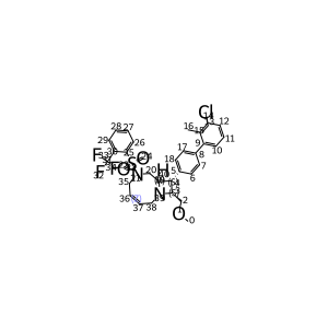 COC[C@@H]1[C@@H](c2ccc(-c3cccc(Cl)c3C)cc2)[C@@H]2CN(S(=O)(=O)c3ccccc3C(F)(F)F)C/C=C\CN12